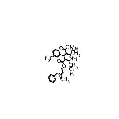 COC(=O)C1=C(C)NC(C)=C(C(=O)OCCN(C)Cc2ccccc2)C1c1cccc(C(F)(F)F)c1.Cl